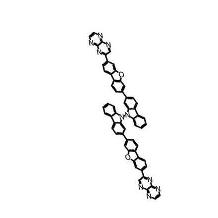 c1ccc2c(c1)c1ccc(-c3ccc4c(c3)oc3cc(-c5cnc6nccnc6n5)ccc34)cc1n2-n1c2ccccc2c2ccc(-c3ccc4c(c3)oc3cc(-c5cnc6nccnc6n5)ccc34)cc21